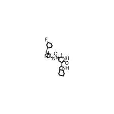 Cc1[nH]c(=O)c(-c2cc3ccccc3[nH]2)cc1C(=O)Nc1cnn(Cc2cccc(F)c2)c1